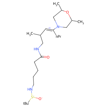 CCC/C(=C\C(C)CNC(=O)CCCCN[S+]([O-])C(C)(C)C)N1CC(C)OC(C)C1